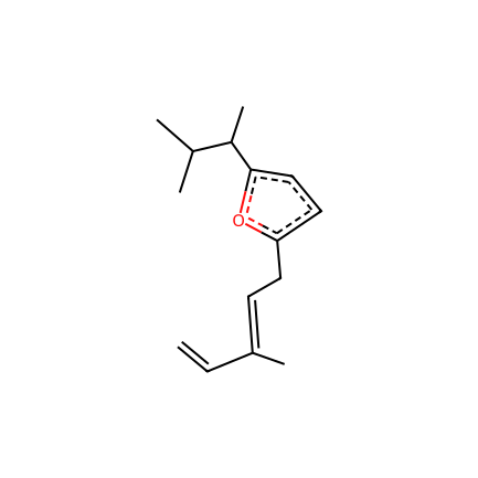 C=C/C(C)=C/Cc1ccc(C(C)C(C)C)o1